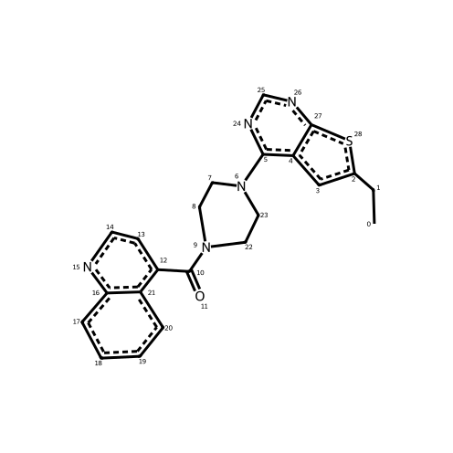 CCc1cc2c(N3CCN(C(=O)c4ccnc5ccccc45)CC3)ncnc2s1